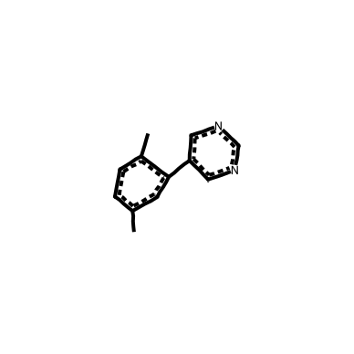 Cc1ccc(C)c(-c2[c]ncnc2)c1